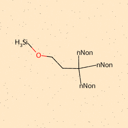 CCCCCCCCCC(CCCCCCCCC)(CCCCCCCCC)CCO[SiH3]